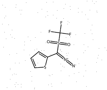 [N-]=[N+]=C(c1cccs1)S(=O)(=O)C(F)(F)F